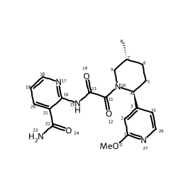 COc1cc([C@@H]2CC[C@@H](C)CN2C(=O)C(=O)Nc2ncccc2C(N)=O)ccn1